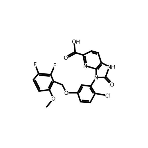 COc1ccc(F)c(F)c1COc1ccc(Cl)c(-n2c(=O)[nH]c3ccc(C(=O)O)nc32)c1